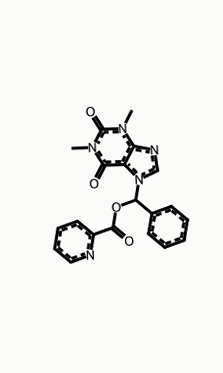 Cn1c(=O)c2c(ncn2C(OC(=O)c2ccccn2)c2ccccc2)n(C)c1=O